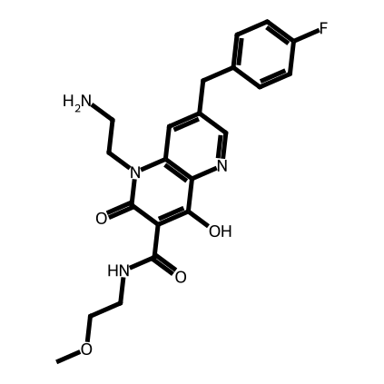 COCCNC(=O)c1c(O)c2ncc(Cc3ccc(F)cc3)cc2n(CCN)c1=O